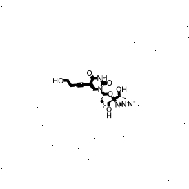 C[C@@H](O)[C@](CO)(N=[N+]=[N-])O[C@H](CF)n1cc(C#CCCO)c(=O)[nH]c1=O